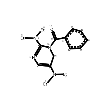 CCN(CC)C1=CN=C(N(CC)CC)N(C(=O)c2ccccc2)[CH]1